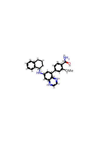 COc1cc(-c2cc(N[C@@H]3CCCc4ccccc43)cc3nccnc23)ccc1C(N)=O